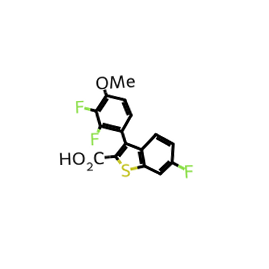 COc1ccc(-c2c(C(=O)O)sc3cc(F)ccc23)c(F)c1F